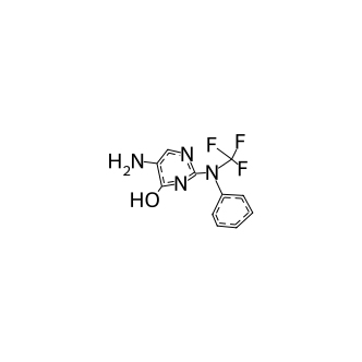 Nc1cnc(N(c2ccccc2)C(F)(F)F)nc1O